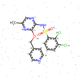 Cc1cnc(NS(=O)(=O)c2cccc(Cl)c2Cl)c(OCc2ccncc2)n1